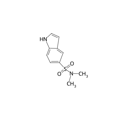 CN(C)S(=O)(=O)c1ccc2[nH]ccc2c1